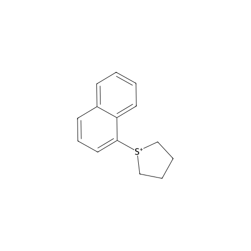 c1ccc2c([S+]3CCCC3)cccc2c1